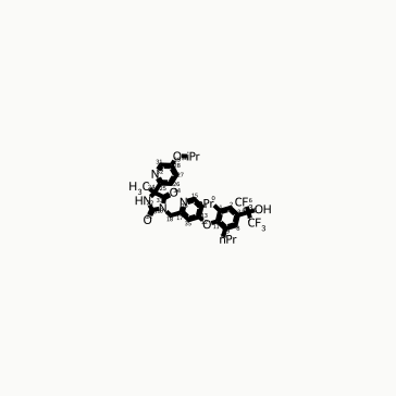 CCCc1cc(C(O)(C(F)(F)F)C(F)(F)F)cc(CCC)c1Oc1ccnc(CN2C(=O)NC(C)(c3ccc(OC(C)C)cn3)C2=O)c1